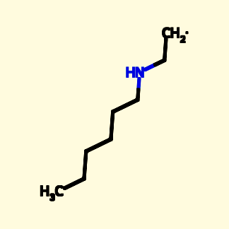 [CH2]CNCCCCCC